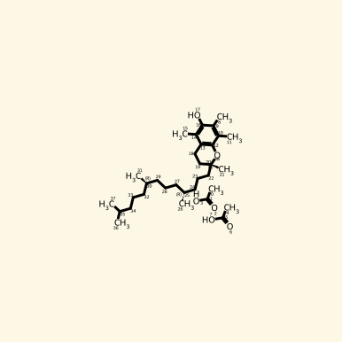 CC(=O)O.CC(=O)O.Cc1c(C)c2c(c(C)c1O)CC[C@@](C)(CCC[C@H](C)CCC[C@H](C)CCCC(C)C)O2